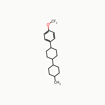 CC1CCC(C2CCC(c3ccc(OC(F)(F)F)cc3)CC2)CC1